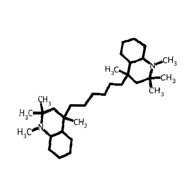 CN1C2CCCCC2C(C)(CCCCCCC2(C)CC(C)(C)N(C)C3CCCCC32)CC1(C)C